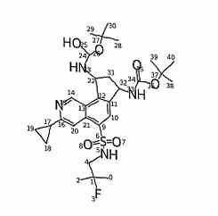 CC(C)(F)CNS(=O)(=O)c1cc2c(c3cnc(C4CC4)cc13)C(NC(O)OC(C)(C)C)CC2NC(=O)OC(C)(C)C